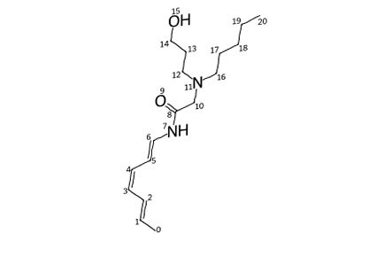 C/C=C/C=C\C=C\NC(=O)CN(CCCO)CCCCC